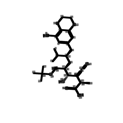 CC(C)[C@@H](Cc1cc(O)c2c(c1)OCCO2)C[C@H](NOC(C)(C)C)[C@@H](O)C(=C=O)[C@@H](C)C(=O)O